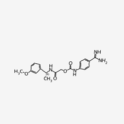 COc1cccc([C@@H](C)NC(=O)COC(=O)Nc2ccc(C(=N)N)cc2)c1